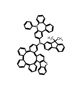 CC1(C)c2ccccc2-c2ccc(N(c3ccc4c(c3)-c3ccccc3-c3ccccc3N4c3ccccc3)c3ccc4c5ccccc5c5ccccc5c5ccccc5c5c(ccc6sc7ccccc7c65)c4c3)cc21